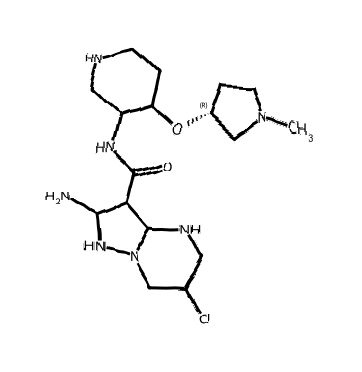 CN1CC[C@@H](OC2CCNCC2NC(=O)C2C(N)NN3CC(Cl)CNC23)C1